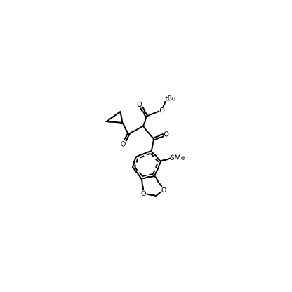 CSc1c(C(=O)C(C(=O)OC(C)(C)C)C(=O)C2CC2)ccc2c1OCO2